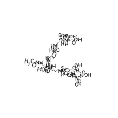 CC(=O)NCCCC[C@H](NC(=O)[C@H](CCCCNC(=S)Nc1ccc(CC2CN(CC(=O)O)CCN(CC(=O)O)CCN(CC(=O)O)CCN2CC(=O)O)cc1)NC(=O)Cn1nncc1-c1cccc(NC(=O)NCCCC[C@H](NC(=O)N[C@@H](CCC(=O)O)C(=O)O)C(=O)O)c1)C(=O)O